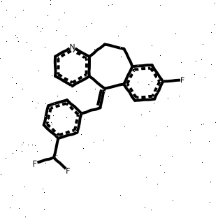 Fc1ccc2c(c1)CCc1ncccc1/C2=C\c1cccc(C(F)F)c1